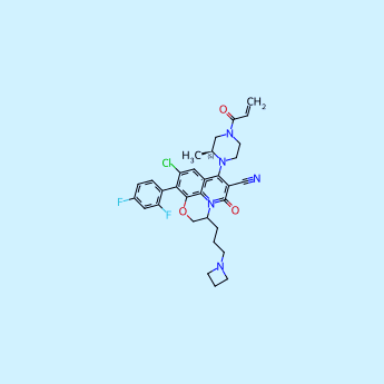 C=CC(=O)N1CCN(c2c(C#N)c(=O)n3c4c(c(-c5ccc(F)cc5F)c(Cl)cc24)OCC3CCCN2CCC2)[C@@H](C)C1